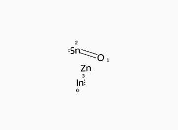 [In].[O]=[Sn].[Zn]